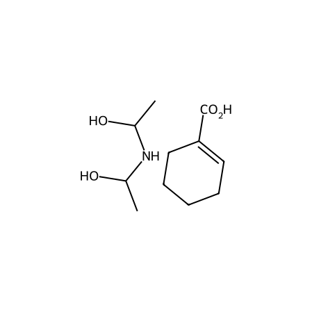 CC(O)NC(C)O.O=C(O)C1=CCCCC1